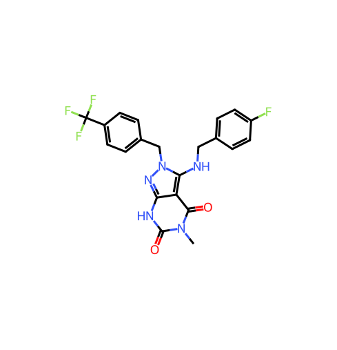 Cn1c(=O)[nH]c2nn(Cc3ccc(C(F)(F)F)cc3)c(NCc3ccc(F)cc3)c2c1=O